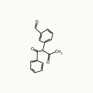 CC(=O)N(C(=O)c1ccccc1)c1cccc(C=O)c1